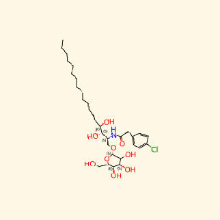 CCCCCCCCCCCCCC[C@@H](O)[C@@H](O)[C@H](CO[C@H]1OC(CO)[C@H](O)[C@H](O)C1O)NC(=O)Cc1ccc(Cl)cc1